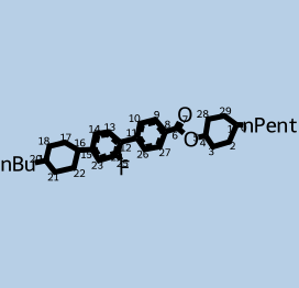 CCCCCC1CCC(OC(=O)c2ccc(-c3ccc(C4CCC(CCCC)CC4)cc3F)cc2)CC1